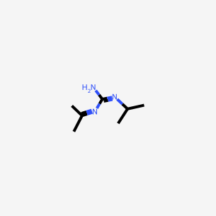 CC(C)=N/C(N)=N\C(C)C